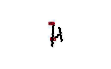 CCCCC(CCCC)CCCO.CCCCCCCCCCCCCO